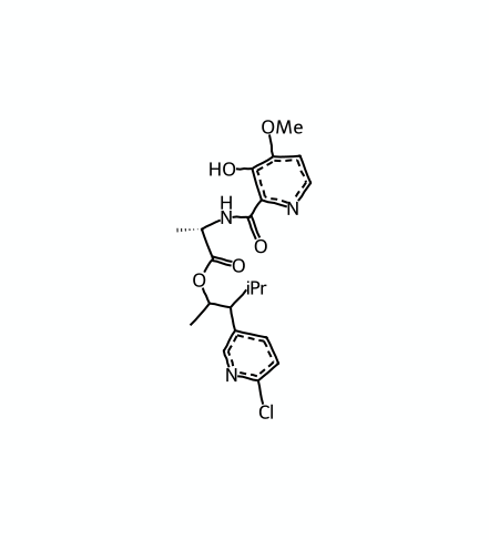 COc1ccnc(C(=O)N[C@@H](C)C(=O)OC(C)C(c2ccc(Cl)nc2)C(C)C)c1O